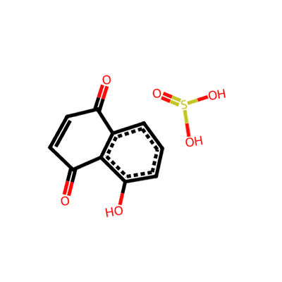 O=C1C=CC(=O)c2c(O)cccc21.O=S(O)O